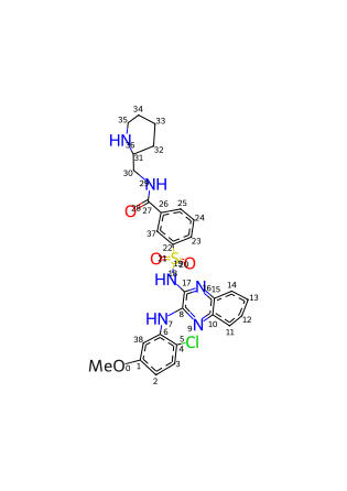 COc1ccc(Cl)c(Nc2nc3ccccc3nc2NS(=O)(=O)c2cccc(C(=O)NCC3CCCCN3)c2)c1